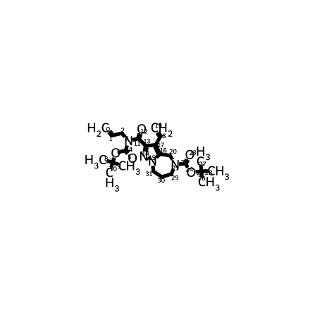 C=CCN(C(=O)OC(C)(C)C)C(=O)c1nn2c(c1C=C)CN(C(=O)OC(C)(C)C)CCC2